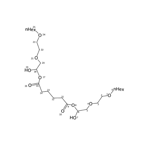 CCCCCCOCCOCC(O)OC(=O)CCCCC(=O)OC(O)COCCOCCCCCC